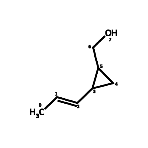 CC=CC1CC1CO